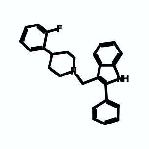 Fc1ccccc1C1CCN(Cc2c(-c3ccccc3)[nH]c3ccccc23)CC1